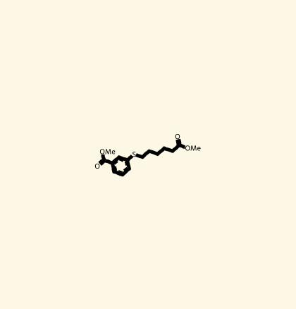 COC(=O)CCCCCSc1cccc(C(=O)OC)c1